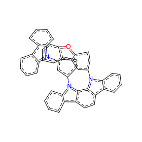 c1cc(-n2c3ccccc3c3ccccc32)cc(-n2c3ccccc3c3ccc4c5ccccc5n(-c5ccc6oc7ccccc7c6c5)c4c32)c1